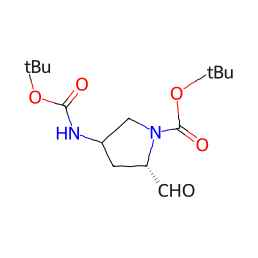 CC(C)(C)OC(=O)NC1C[C@@H](C=O)N(C(=O)OC(C)(C)C)C1